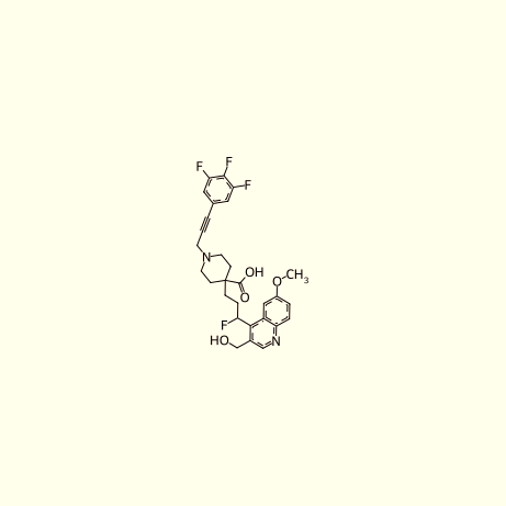 COc1ccc2ncc(CO)c(C(F)CCC3(C(=O)O)CCN(CC#Cc4cc(F)c(F)c(F)c4)CC3)c2c1